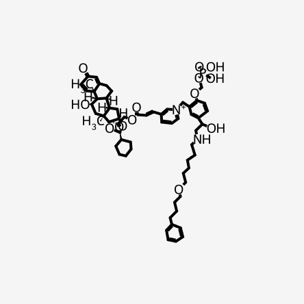 C[C@]12C=CC(=O)C=C1CC[C@@H]1[C@@H]2[C@@H](O)C[C@@]2(C)[C@H]1C[C@H]1O[C@@H](C3CCCCC3)O[C@]12C(=O)COC(=O)/C=C/c1ccc[n+](Cc2cc(C(O)CNCCCCCCOCCCCc3ccccc3)ccc2OCOP(=O)(O)O)c1